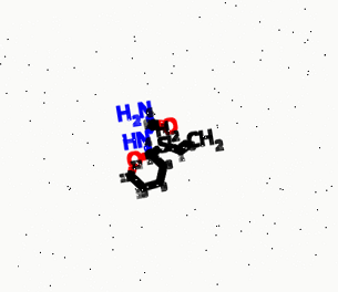 C=C[SiH2]C1(NC(N)=O)CCCCO1